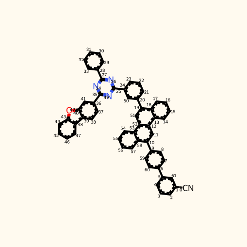 N#Cc1cccc(-c2ccc(-c3cc4c5ccccc5c(-c5cccc(-c6nc(-c7ccccc7)nc(-c7ccc8c(c7)oc7ccccc78)n6)c5)cc4c4ccccc34)cc2)c1